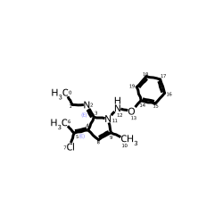 CC/N=C1\C(=C(/C)Cl)C=C(C)N1NOc1ccccc1